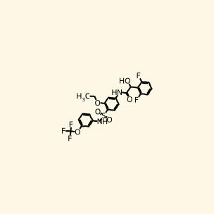 CCOc1cc(NC(=O)C(O)c2c(F)cccc2F)ccc1S(=O)(=O)Nc1cccc(OC(F)(F)F)c1